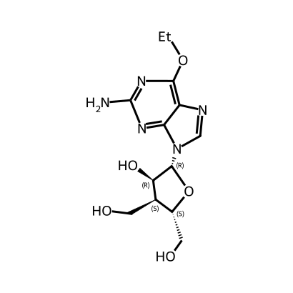 CCOc1nc(N)nc2c1ncn2[C@@H]1O[C@H](CO)[C@@H](CO)[C@H]1O